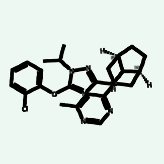 Cc1cc(N2C[C@H]3CC[C@@H](C2)C3Nc2nc(Oc3ccccc3Cl)n(C(C)C)n2)ncn1